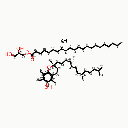 CCCCCCCCCCCCCCCCCCCCCC(=O)OCC(O)CO.Cc1c(C)c2c(c(C)c1O)CC[C@@](C)(CCC[C@H](C)CCC[C@H](C)CCCC(C)C)O2.[KH]